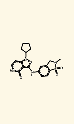 CN1Cc2cc(Nc3nn(C4CCCC4)c4cc[nH]c(=O)c34)ccc2S1(=O)=O